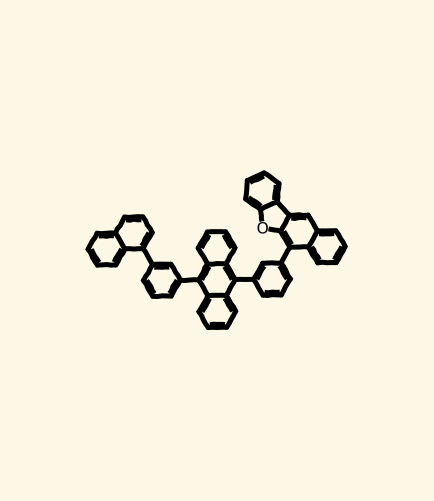 c1cc(-c2cccc3ccccc23)cc(-c2c3ccccc3c(-c3cccc(-c4c5ccccc5cc5c4oc4ccccc45)c3)c3ccccc23)c1